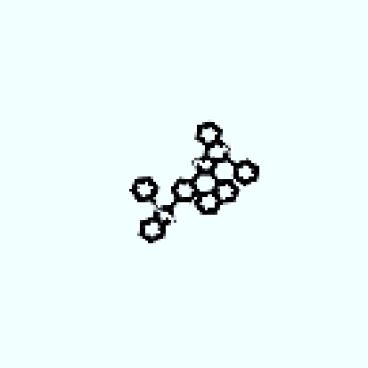 c1ccc(-c2nc3ccccc3c3oc(-c4ccc(-c5nc6ccccc6n5-c5ccccc5)cc4)c(-c4cccc5ccccc45)c23)cc1